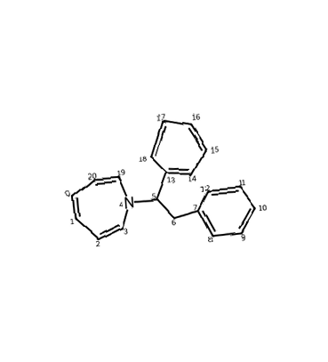 C1=CC=CN(C(Cc2ccccc2)c2ccccc2)C=C1